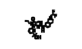 C=CCn1c(=O)c2cnc(Nc3ccc4c(c3)CN(CC(F)F)CC4)nc2n1-c1cccc(C(C)(C)O)n1